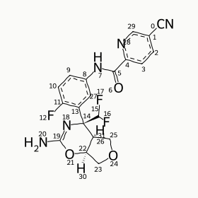 N#Cc1ccc(C(=O)Nc2ccc(F)c([C@@]3(C(F)F)N=C(N)O[C@@H]4COC[C@@H]43)c2)nc1